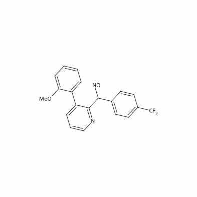 COc1ccccc1-c1cccnc1C(N=O)c1ccc(C(F)(F)F)cc1